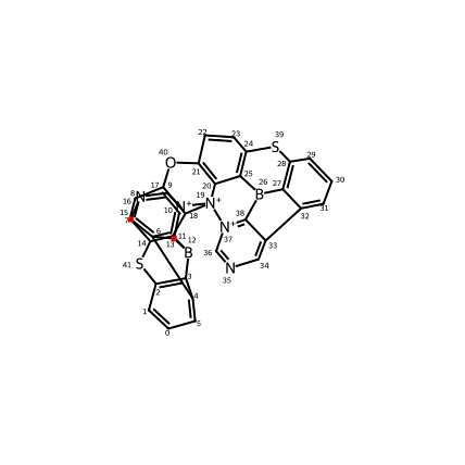 c1cc2c3c(c1)-c1cnc[n+]4c1B3c1c(ccc3c1[N+]41c4c(ccc5c4B4c6c(cccc6-c6cnc[n+]1c64)S5)O3)S2